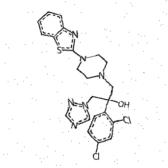 OC(CN1CCN(c2nc3ccccc3s2)CC1)(Cn1cncn1)c1ccc(Cl)cc1Cl